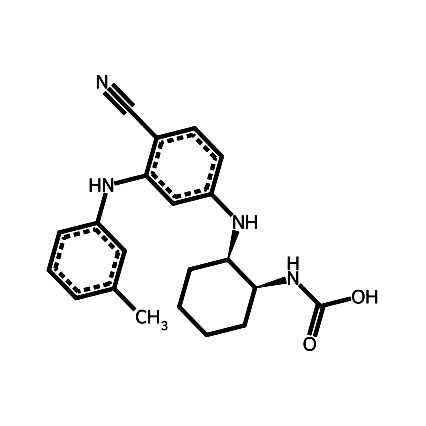 Cc1cccc(Nc2cc(N[C@@H]3CCCC[C@@H]3NC(=O)O)ccc2C#N)c1